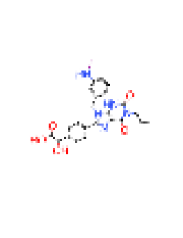 CCCn1c(=O)[nH]c2c(nc(-c3ccc(C(O)C(=O)O)cc3)n2Cc2cccc(NI)c2)c1=O